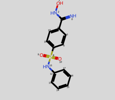 N=C(NO)c1ccc(S(=O)(=O)Nc2ccccc2)cc1